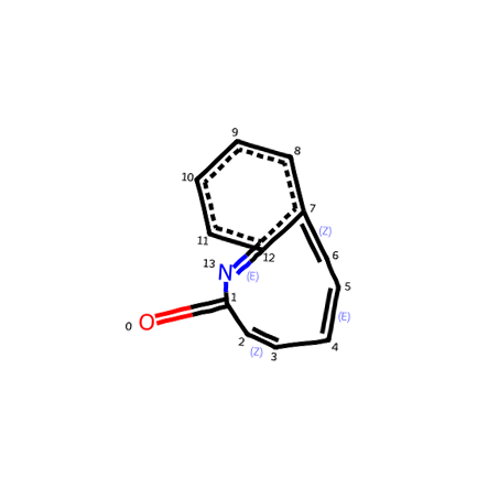 O=C1\C=C/C=C/C=c2/cccc/c2=N\1